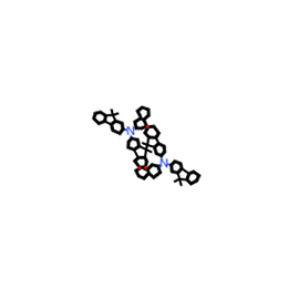 CC1(C)c2ccccc2-c2ccc(N(c3ccc4c(c3)C(C)(C3(C)c5ccccc5-c5ccc(N(c6ccc7c(c6)C(C)(C)c6ccccc6-7)c6ccc7ccccc7c6)cc53)c3ccccc3-4)c3ccc4ccccc4c3)cc21